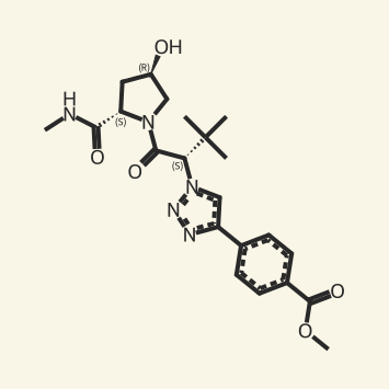 CNC(=O)[C@@H]1C[C@@H](O)CN1C(=O)[C@@H](n1cc(-c2ccc(C(=O)OC)cc2)nn1)C(C)(C)C